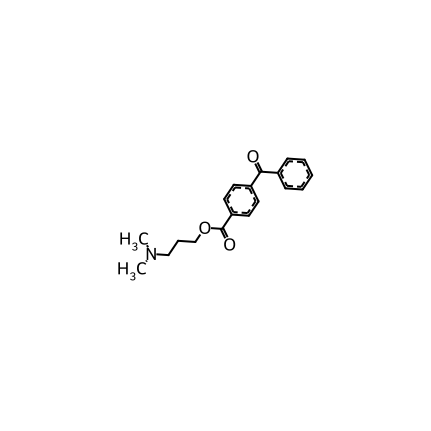 CN(C)CCCOC(=O)c1ccc(C(=O)c2ccccc2)cc1